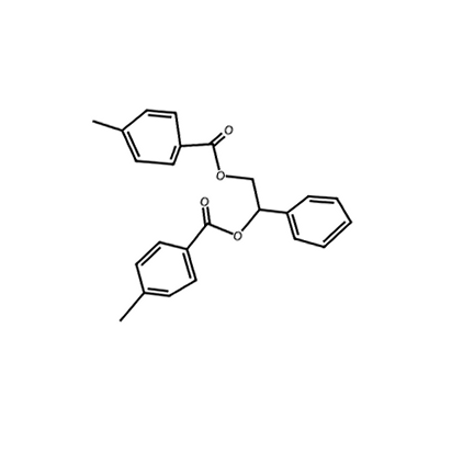 Cc1ccc(C(=O)OCC(OC(=O)c2ccc(C)cc2)c2ccccc2)cc1